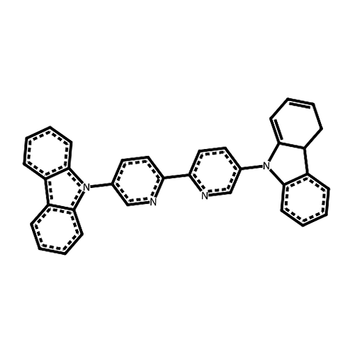 C1=CCC2C(=C1)N(c1ccc(-c3ccc(-n4c5ccccc5c5ccccc54)cn3)nc1)c1ccccc12